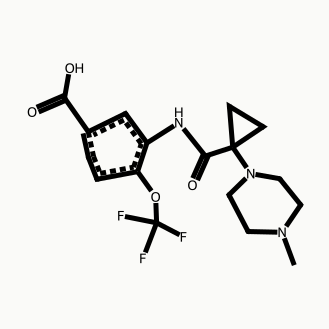 CN1CCN(C2(C(=O)Nc3cc(C(=O)O)ccc3OC(F)(F)F)CC2)CC1